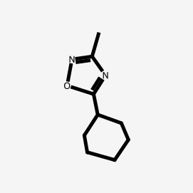 Cc1noc(C2CCCCC2)n1